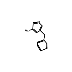 CC(=O)c1cncc(Cc2ccccc2)c1